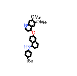 COc1cc2nccc(Oc3ccc4c(Nc5ccc(C(C)(C)C)cc5)cccc4c3)c2cc1OC